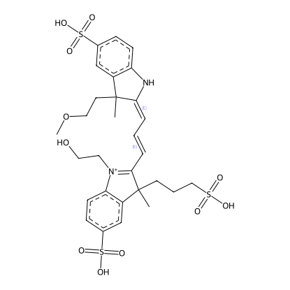 COCCC1(C)/C(=C\C=C\C2=[N+](CCO)c3ccc(S(=O)(=O)O)cc3C2(C)CCCS(=O)(=O)O)Nc2ccc(S(=O)(=O)O)cc21